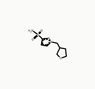 NS(=O)(=O)c1ccn(CC2CCOC2)n1